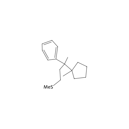 CSCCC(C)(c1ccccc1)C1(C)CCCC1